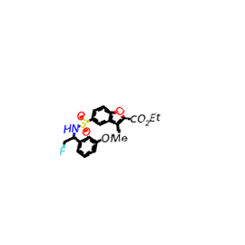 CCOC(=O)c1oc2ccc(S(=O)(=O)NC(CF)c3cccc(OC)c3)cc2c1C